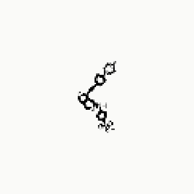 CN1CCN(c2ccc(C#Cc3nccc4cnc(Nc5ccc(S(=O)(=O)O)cc5)cc34)cc2)CC1